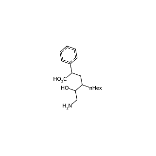 CCCCCCC(CC(C(=O)O)c1ccccc1)C(O)CN